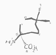 CC(C)(F)C[C@](C)(N)C(=O)O